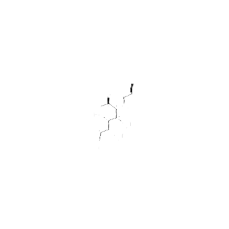 C=CCO[C@@H](C(C)=O)[C@@H](O)[C@H](O)[C@H](O)CO